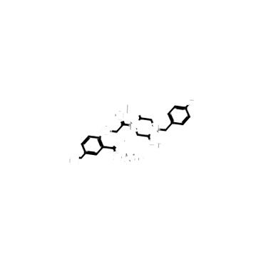 CCC1CN(C(=O)COc2ccc(Cl)cc2C(=O)OC)C(CC)CN1Cc1ccc(F)cc1